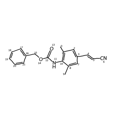 Cc1cc(/C=C/C#N)cc(C)c1NC(=O)OCc1ccccc1